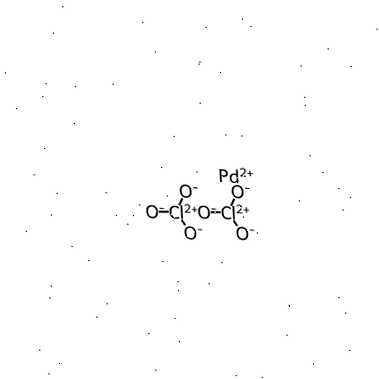 [O-][Cl+2]([O-])[O-].[O-][Cl+2]([O-])[O-].[Pd+2]